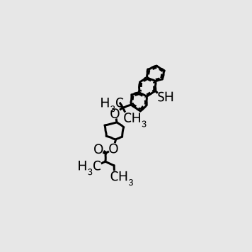 CCC(C)C(=O)OC1CCC(OC(C)(C)c2ccc3c(S)c4ccccc4cc3c2)CC1